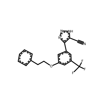 N#Cc1[nH]nnc1-c1cc(OCCc2ccccc2)cc(C(F)(F)F)c1